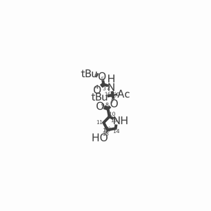 CC(=O)[C@@](NC(=O)OC(C)(C)C)(OC(=O)C1C[C@@H](O)CN1)C(C)(C)C